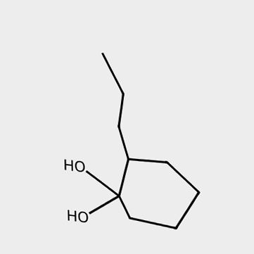 CCCC1CCCCC1(O)O